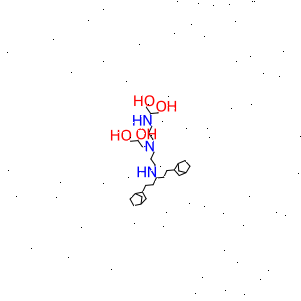 OCC(O)CN(CCCNC(CO)CO)CCCNC(CCC1CC2CCC1C2)CCC1CC2CCC1C2